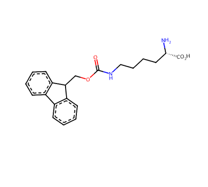 N[C@@H](CCCCNC(=O)OCC1c2ccccc2-c2ccccc21)C(=O)O